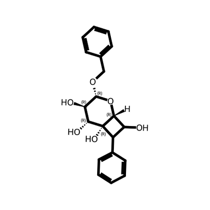 OC1C(c2ccccc2)[C@]2(O)[C@@H]1O[C@@H](OCc1ccccc1)[C@H](O)[C@H]2O